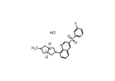 CN1C[C@@H]2CN(c3cccc4cc(S(=O)(=O)c5cccc(F)c5)cnc34)C[C@@H]2C1.Cl